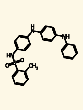 Cc1ccccc1S(=O)(=O)Nc1ccc(Nc2ccc(Nc3ccccc3)cc2)cc1